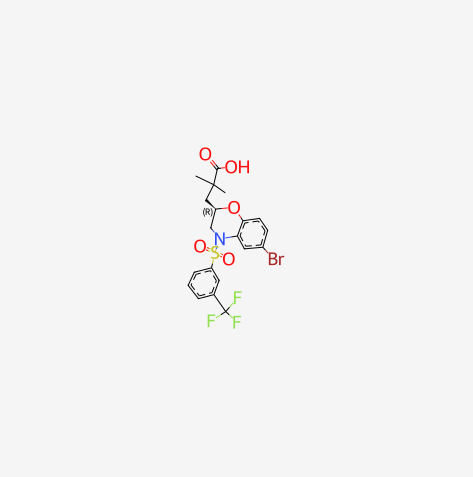 CC(C)(C[C@@H]1CN(S(=O)(=O)c2cccc(C(F)(F)F)c2)c2cc(Br)ccc2O1)C(=O)O